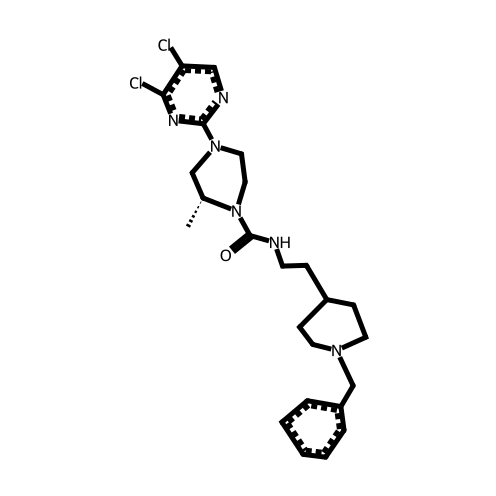 C[C@@H]1CN(c2ncc(Cl)c(Cl)n2)CCN1C(=O)NCCC1CCN(Cc2ccccc2)CC1